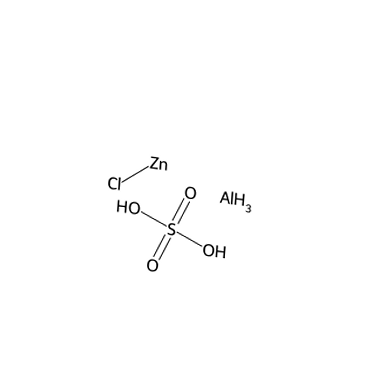 O=S(=O)(O)O.[AlH3].[Cl][Zn]